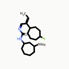 C=C(/N=C\C(=C/C)C1CCCC(F)CC1)NC1CCCCC(NC)C1